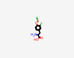 NC(Cc1ccc(OSF)c(F)c1)C(=O)O